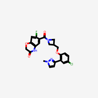 Cn1ccc(-c2cc(Cl)ccc2OCC2CN(C(=O)c3cc4c(cc3F)OCC(=O)N4)C2)n1